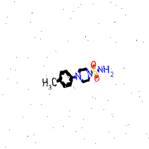 Cc1ccc(N2CCN(S(N)(=O)=O)CC2)cc1